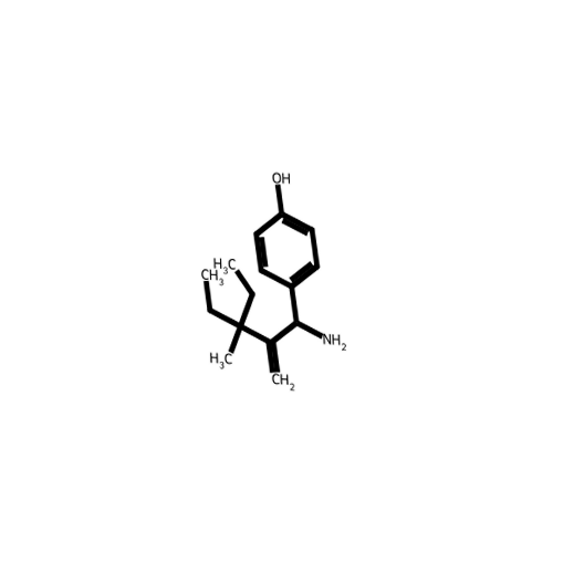 C=C(C(N)c1ccc(O)cc1)C(C)(CC)CC